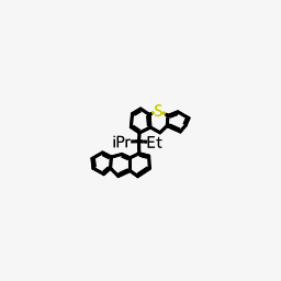 [CH2]CC(c1cccc2c1Cc1ccccc1S2)(c1cccc2cc3ccccc3cc12)C(C)C